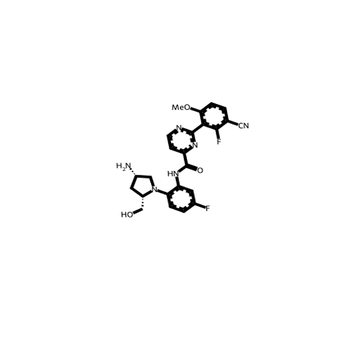 COc1ccc(C#N)c(F)c1-c1nccc(C(=O)Nc2cc(F)ccc2N2C[C@@H](N)C[C@H]2CO)n1